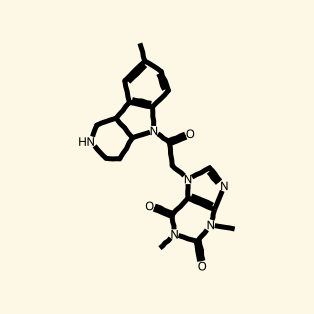 Cc1ccc2c(c1)C1CNCCC1N2C(=O)Cn1cnc2c1c(=O)n(C)c(=O)n2C